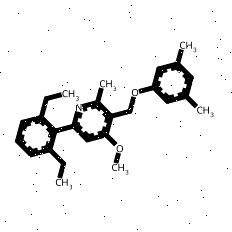 CCc1cccc(CC)c1-c1cc(OC)c(COc2cc(C)cc(C)c2)c(C)n1